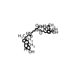 CNC(Cc1ccc(B(O)O)c(CN(C)C)c1)C(=O)CNC(CCCCNC(=O)CCC(C)C1CCC2C3CC[C@H]4C[C@@H](O)CC[C@@]4(C)C3CC[C@@]12C)C(=O)O